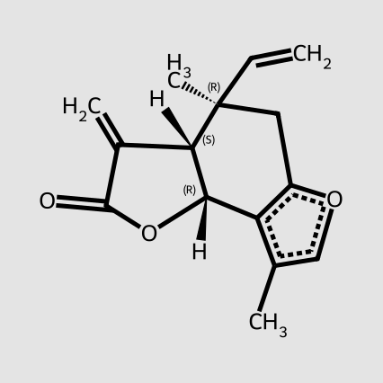 C=C[C@@]1(C)Cc2occ(C)c2[C@@H]2OC(=O)C(=C)[C@@H]21